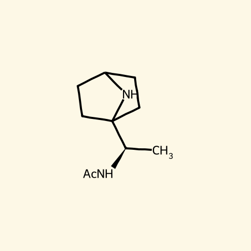 CC(=O)N[C@H](C)C12CCC(CC1)N2